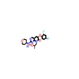 C[C@@H](O)Cn1c(=O)c(Oc2ccc(F)cc2F)cc2cnc(NC3CCOCC3)nc21